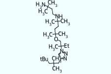 CCC(C)(COC(C)(C)CCC(C)(C)NCCC(C)(C)N)n1cc(CC(C)(C)CC(C)(C)C)nn1